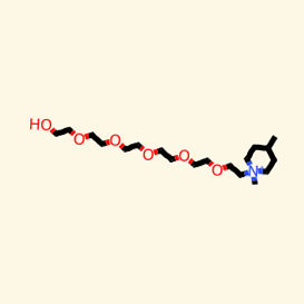 CC1CC[N+](C)(CCOCCOCCOCCOCCOCCO)CC1